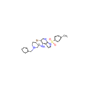 Cc1ccc(S(=O)(=O)n2ccc3c(N[C@@H]4CCCN(Cc5ccccc5)C4)c(Br)cnc32)cc1